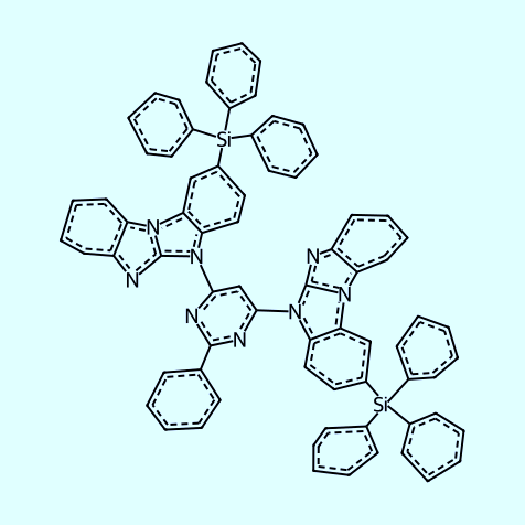 c1ccc(-c2nc(-n3c4ccc([Si](c5ccccc5)(c5ccccc5)c5ccccc5)cc4n4c5ccccc5nc34)cc(-n3c4ccc([Si](c5ccccc5)(c5ccccc5)c5ccccc5)cc4n4c5ccccc5nc34)n2)cc1